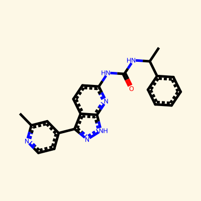 Cc1cc(-c2n[nH]c3nc(NC(=O)NC(C)c4ccccc4)ccc23)ccn1